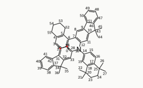 Cc1ccc2c(c1-c1cc3c(cc1N(c1ccc4c(c1)C(C)(C)CCC4(C)C)c1ccc4c(c1)C(C)(C)c1ccccc1-4)C(C)(C)c1ccccc1-3)CCCC2